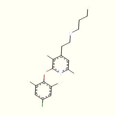 CCCCNCCc1cc(C)nc(Oc2c(C)cc(Cl)cc2C)c1C